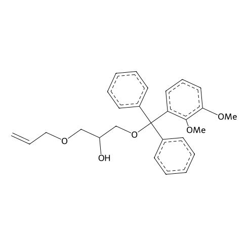 C=CCOCC(O)COC(c1ccccc1)(c1ccccc1)c1cccc(OC)c1OC